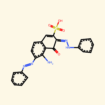 Nc1c(/N=N/c2ccccc2)ccc2c1C(=O)/C(=N\Nc1ccccc1)C(S(=O)(=O)O)=C2